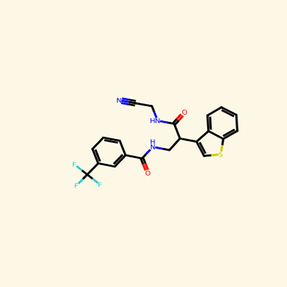 N#CCNC(=O)C(CNC(=O)c1cccc(C(F)(F)F)c1)c1csc2ccccc12